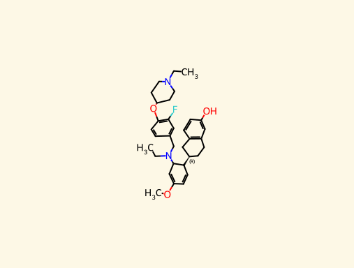 CCN1CCC(Oc2ccc(CN(CC)C3C=C(OC)C=CC3[C@@H]3CCc4cc(O)ccc4C3)cc2F)CC1